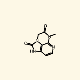 CN1C(=O)Cn2c(=O)[nH]c3ccnc1c32